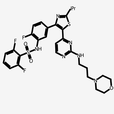 CC(C)c1nc(-c2ccc(F)c(NS(=O)(=O)c3c(F)cccc3F)c2)c(-c2ccnc(NCCCN3CCOCC3)n2)s1